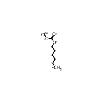 CCCCCCOC(=O)OCl